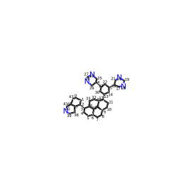 c1cc(-c2ccc3ccc4ccc(-c5cc(-c6cncnc6)cc(-c6cncnc6)c5)c5ccc2c3c45)c2ccncc2c1